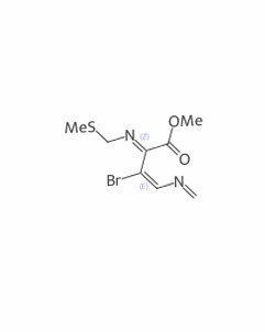 C=N/C=C(Br)\C(=N/CSC)C(=O)OC